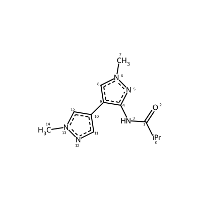 CC(C)C(=O)Nc1nn(C)cc1-c1cnn(C)c1